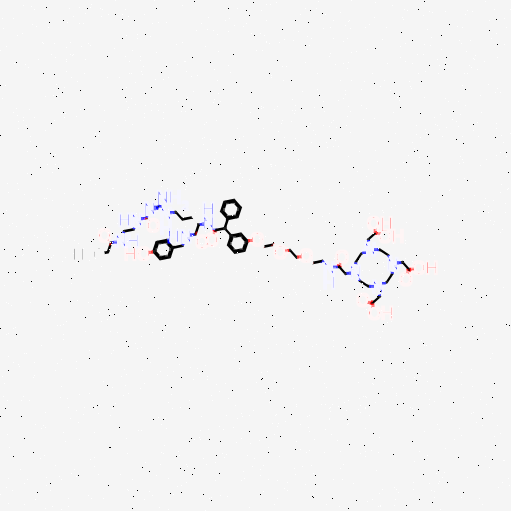 CCC(=O)NCCNC(=O)/N=C(/N)NCCC[C@@H](NC(=O)C(c1ccccc1)c1cccc(OCCOCCOCCNC(=O)CN2CCN(CC(=O)O)CCN(CC(=O)O)CCN(CC(O)O)CC2)c1)C(=O)NCc1ccc(O)cc1